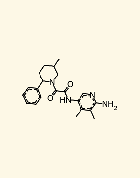 Cc1c(NC(=O)C(=O)N2CC(C)CCC2c2ccccc2)cnc(N)c1C